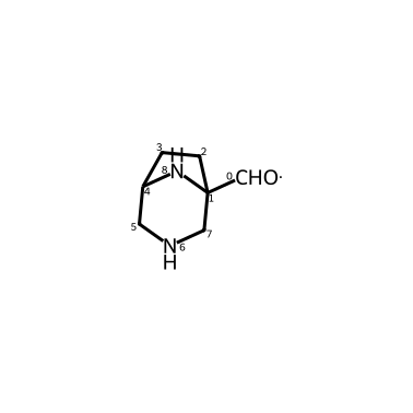 O=[C]C12CCC(CNC1)N2